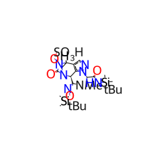 CN/C(=N\O[Si](C)(C)C(C)(C)C)[C@@H]1c2c(cnn2CC(=O)N[Si](C)(C)C(C)(C)C)[C@@H]2CN1C(=O)N2OS(=O)(=O)O